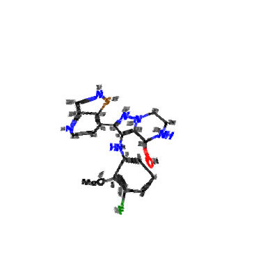 COc1c(F)cccc1Nc1c(-c2ccnc3cnsc23)nn2c1C(=O)NCC2